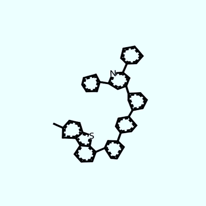 Cc1ccc2sc3c(-c4cccc(-c5ccc(-c6cccc(-c7cc(-c8ccccc8)nc(-c8ccccc8)c7)c6)cc5)c4)cccc3c2c1